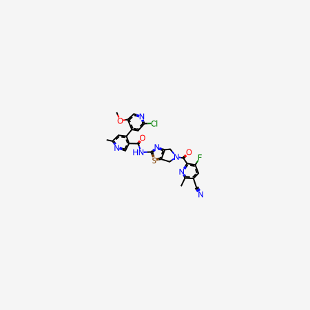 COc1cnc(Cl)cc1-c1cc(C)ncc1C(=O)Nc1nc2c(s1)CN(C(=O)c1nc(C)c(C#N)cc1F)C2